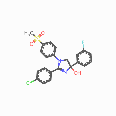 CS(=O)(=O)c1ccc(N2CC(O)(c3cccc(F)c3)N=C2c2ccc(Cl)cc2)cc1